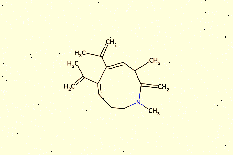 C=C(C)C1=C/CCN(C)C(=C)C(C)/C=C\1C(=C)C